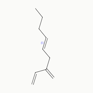 C=CC(=C)C/C=C/CCC